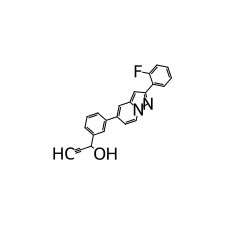 C#CC(O)c1cccc(-c2ccn3nc(-c4ccccc4F)cc3c2)c1